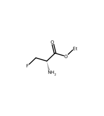 CCOC(=O)[C@H](N)CF